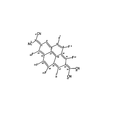 N#CC(C#N)=c1cc2c(F)c(F)c3c(F)c(=C(C#N)C#N)c(F)c4c(F)c(F)c(c1F)c2c34